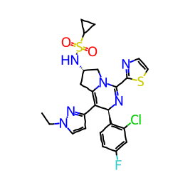 CCn1ccc(C2=C3C[C@H](NS(=O)(=O)C4CC4)CN3C(c3nccs3)=N[C@H]2c2ccc(F)cc2Cl)n1